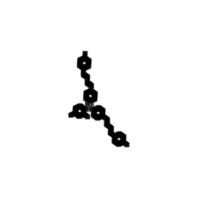 Cc1ccc(/C=C/C=C/c2ccc(N(c3ccc(/C=C/C=C/c4ccc(C)cc4)cc3)c3ccc(C)cc3C)cc2)cc1